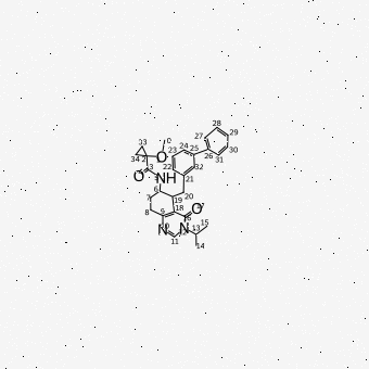 COC1(C(=O)NC2CCc3ncn(C(C)C)c(=O)c3C2Cc2cccc(-c3ccccc3)c2)CC1